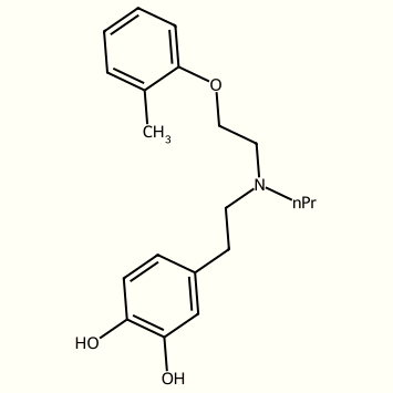 CCCN(CCOc1ccccc1C)CCc1ccc(O)c(O)c1